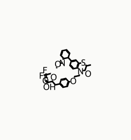 CON=C1C=CC=CC1c1ccc2c(c1)SC(C)C(=O)N2CCOc1ccc(CC(OCC(F)(F)F)C(=O)O)cc1